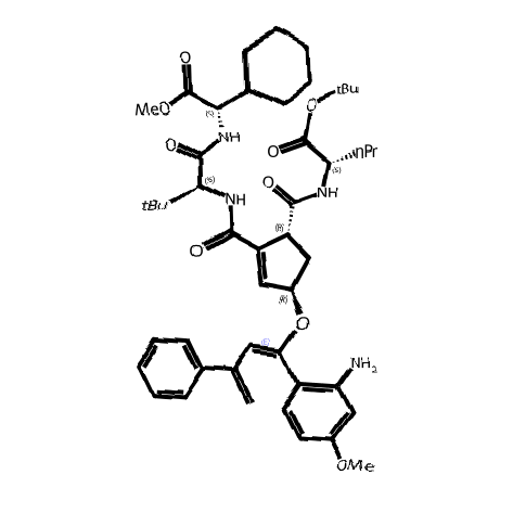 C=C(/C=C(/O[C@H]1C=C(C(=O)N[C@H](C(=O)N[C@H](C(=O)OC)C2CCCCC2)C(C)(C)C)[C@H](C(=O)N[C@@H](CCC)C(=O)OC(C)(C)C)C1)c1ccc(OC)cc1N)c1ccccc1